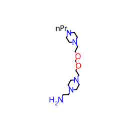 CCCN1CCN(CCOCOCCN2CCN(CCN)CC2)CC1